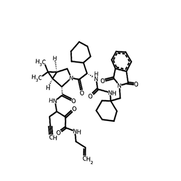 C#CCC(NC(=O)[C@@H]1[C@@H]2[C@H](CN1C(=O)[C@@H](NC(=O)NC1(CN3C(=O)c4ccccc4C3=O)CCCCC1)C1CCCCC1)C2(C)C)C(=O)C(=O)NCC=C